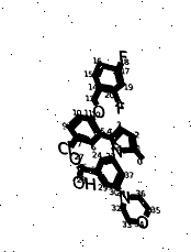 Cc1ccc(-c2cc(Cl)ccc2OCc2ccc(F)cc2F)n1-c1cc(C(=O)O)cc(N2CCOCC2)c1